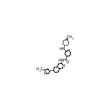 CN1CCC(Nc2cc(C(=O)Nc3cc4cc(-c5cnn(C)c5)ccc4cn3)ccn2)CC1